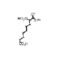 CCCC(CC)C(CCCCCCC(=O)O)C(=O)O